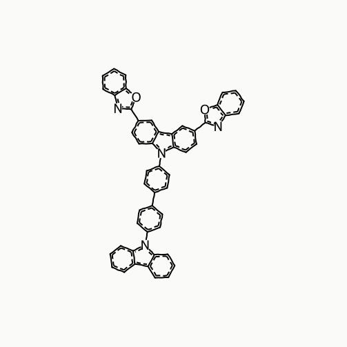 c1ccc2oc(-c3ccc4c(c3)c3cc(-c5nc6ccccc6o5)ccc3n4-c3ccc(-c4ccc(-n5c6ccccc6c6ccccc65)cc4)cc3)nc2c1